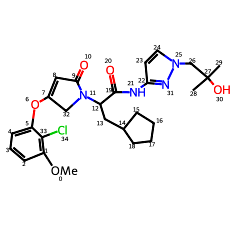 COc1cccc(OC2=CC(=O)N(C(CC3CCCC3)C(=O)Nc3ccn(CC(C)(C)O)n3)C2)c1Cl